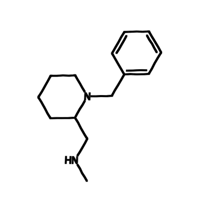 CNCC1CCCCN1Cc1ccccc1